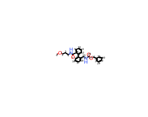 COCCCNC(=O)c1ccccc1-c1ccccc1CNC(=O)OCc1ccccc1